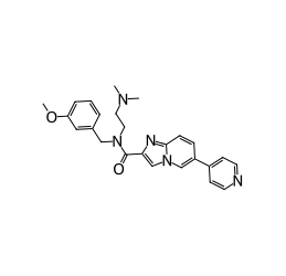 COc1cccc(CN(CCN(C)C)C(=O)c2cn3cc(-c4ccncc4)ccc3n2)c1